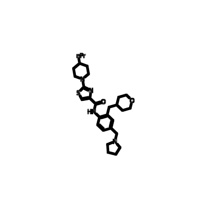 CCCC1CCN(c2nc(C(=O)Nc3ccc(CN4CCCC4)cc3CC3CCOCC3)cs2)CC1